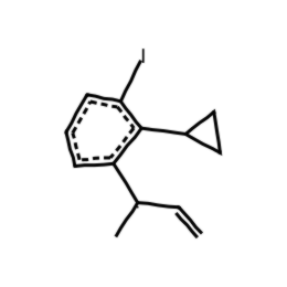 C=C[C](C)c1cccc(I)c1C1CC1